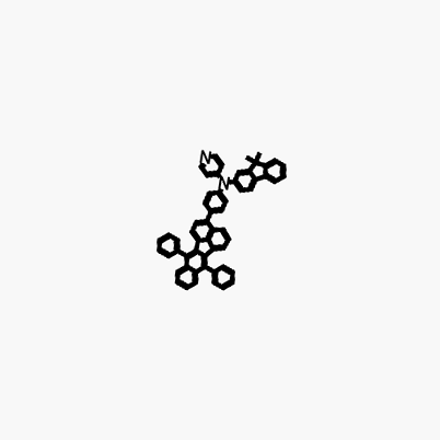 CC1(C)c2ccccc2-c2ccc(N(c3ccncc3)c3ccc(-c4ccc5c6c(cccc46)-c4c-5c(-c5ccccc5)c5ccccc5c4-c4ccccc4)cc3)cc21